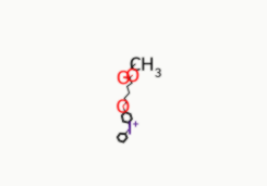 CCOC(=O)CCCCCOc1ccc([I+]c2ccccc2)cc1